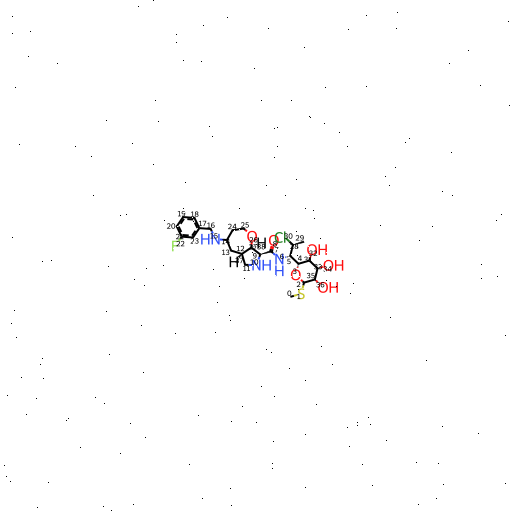 CSC1O[C@H]([C@H](NC(=O)[C@H]2NC[C@@H]3CC(NCc4cccc(F)c4)CCO[C@H]32)[C@H](C)Cl)C(O)[C@@H](O)[C@H]1O